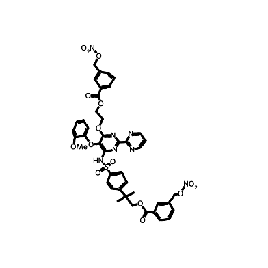 COc1ccccc1Oc1c(NS(=O)(=O)c2ccc(C(C)(C)COC(=O)c3cccc(CO[N+](=O)[O-])c3)cc2)nc(-c2ncccn2)nc1OCCOC(=O)c1cccc(CO[N+](=O)[O-])c1